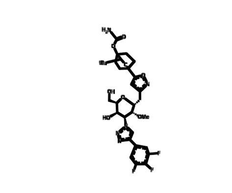 CO[C@@H]1[C@@H](n2cc(-c3cc(F)c(F)c(F)c3)nn2)[C@@H](O)[C@@H](CO)O[C@@H]1Cc1cc(C23CCC(OC(N)=O)(CC2)C(C(C)(C)C)C3)on1